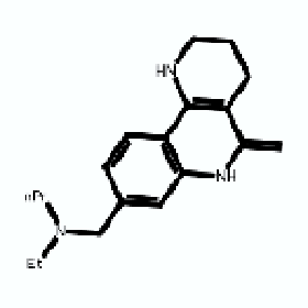 C=C1Nc2cc(CN(CC)CCC)ccc2C2=C1CCCN2